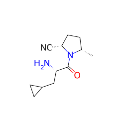 C[C@H]1CC[C@@H](C#N)N1C(=O)[C@@H](N)CC1CC1